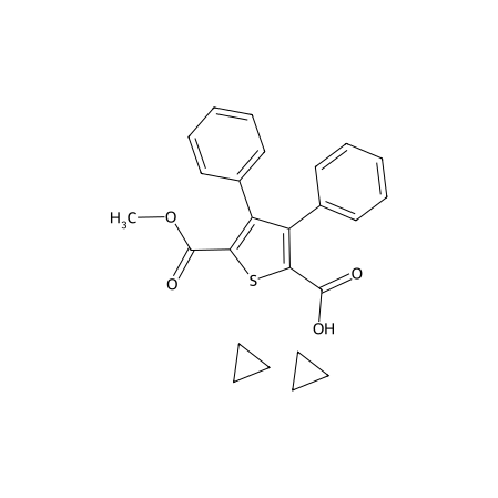 C1CC1.C1CC1.COC(=O)c1sc(C(=O)O)c(-c2ccccc2)c1-c1ccccc1